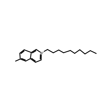 CCCCCCCCCC[n+]1ccc2cc(C)ccc2c1